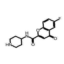 O=C(NC1CCNCC1)c1cc(=O)c2cc(F)ccc2o1